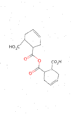 O=C(O)C1CC=CCC1C(=O)OC(=O)C1CC=CCC1C(=O)O